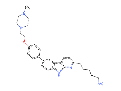 CN1CCN(CCOc2ccc(-c3ccc4[nH]c5nc(CCCCCN)ccc5c4c3)cc2)CC1